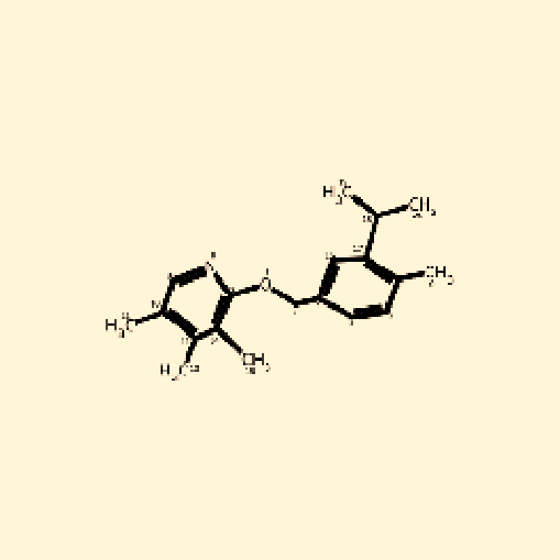 Cc1ccc(COc2ncc(C)c(C)c2C)cc1C(C)C